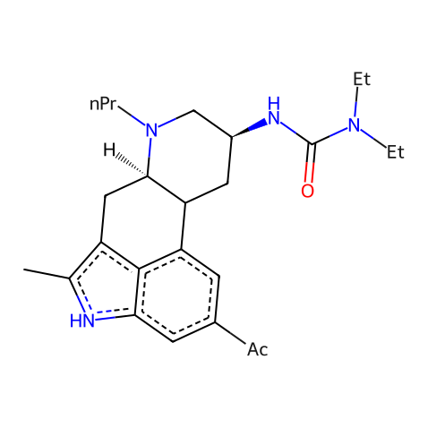 CCCN1C[C@@H](NC(=O)N(CC)CC)CC2c3cc(C(C)=O)cc4[nH]c(C)c(c34)C[C@H]21